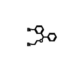 BrCCOC(c1ccccc1)c1cccc(Br)c1